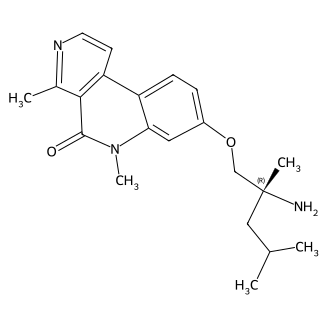 Cc1nccc2c1c(=O)n(C)c1cc(OC[C@](C)(N)CC(C)C)ccc21